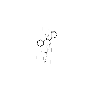 Cc1cccc2c(C=NNC(=O)CN(C)C)c(-c3ccccc3)nn12